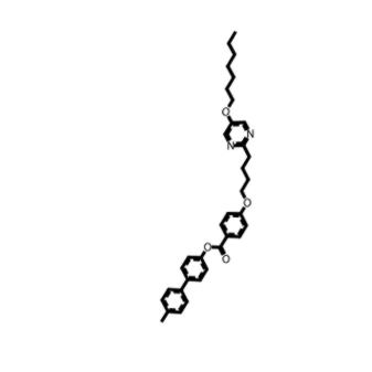 CCCCCCCOc1cnc(CCCCOc2ccc(C(=O)Oc3ccc(-c4ccc(C)cc4)cc3)cc2)nc1